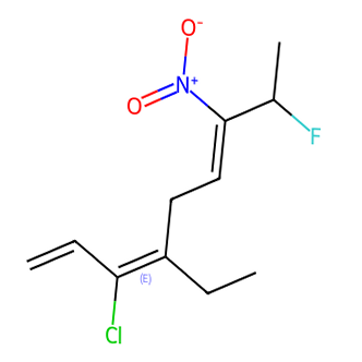 C=C/C(Cl)=C(/CC)CC=C(C(C)F)[N+](=O)[O-]